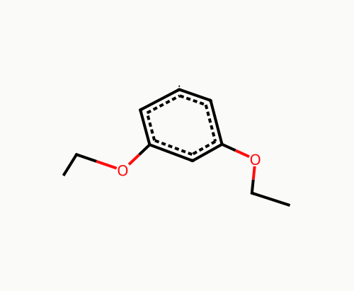 CCOc1c[c]cc(OCC)c1